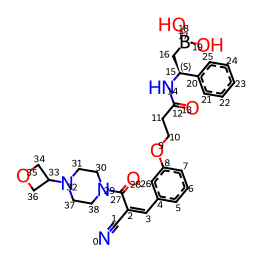 N#CC(=Cc1cccc(OCCC(=O)N[C@@H](CB(O)O)c2ccccc2)c1)C(=O)N1CCN(C2COC2)CC1